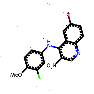 COc1ccc(Nc2c([N+](=O)[O-])cnc3ccc(Br)cc23)cc1F